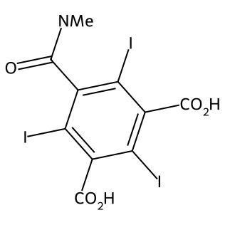 CNC(=O)c1c(I)c(C(=O)O)c(I)c(C(=O)O)c1I